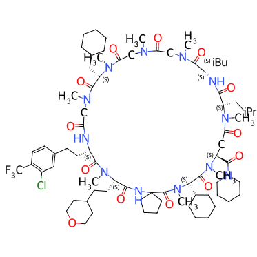 CC[C@H](C)[C@@H]1NC(=O)[C@H](CC(C)C)N(C)C(=O)C[C@@H](C(=O)N2CCCCC2)N(C)C(=O)[C@H](C2CCCCC2)N(C)C(=O)C2(CCCC2)NC(=O)[C@H](CCC2CCOCC2)N(C)C(=O)[C@H](CCc2ccc(C(F)(F)F)c(Cl)c2)NC(=O)CN(C)C(=O)[C@H](CC2CCCCC2)N(C)C(=O)CN(C)C(=O)CN(C)C1=O